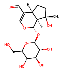 C[C@]1(O)CC[C@@H]2C(C=O)=CO[C@@H](O[C@@H]3O[C@H](CO)[C@@H](O)[C@H](O)[C@H]3O)[C@@H]21